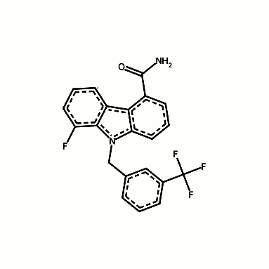 NC(=O)c1cccc2c1c1[c]ccc(F)c1n2Cc1cccc(C(F)(F)F)c1